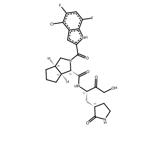 O=C1NCC[C@H]1C[C@H](NC(=O)[C@@H]1[C@H]2CCC[C@H]2CN1C(=O)c1cc2c(Cl)c(F)cc(F)c2[nH]1)C(=O)CO